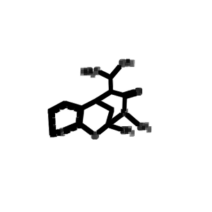 CC(=O)OC(C(=O)O)C1C(=O)N(C)C2(C)CC1c1ccccc1O2